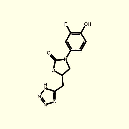 O=C1O[C@H](Cc2nnn[nH]2)CN1c1ccc(O)c(F)c1